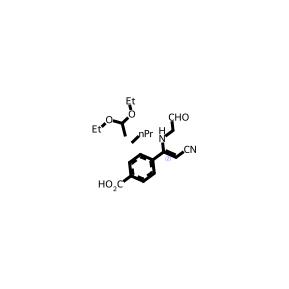 CCCC.CCOC(C)OCC.N#C/C=C(\NCC=O)c1ccc(C(=O)O)cc1